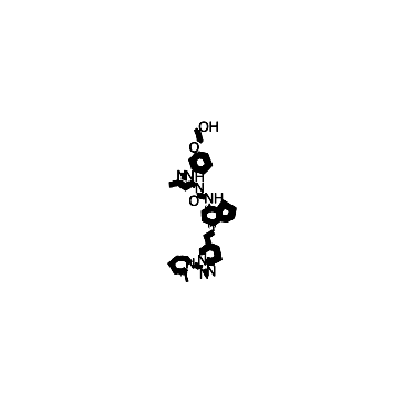 Cc1cc(NC(=O)N[C@H]2CC[C@@H](CCc3ccc4nnc(N5CCCC[C@@H]5C)n4c3)c3ccccc32)n(-c2cccc(OCCO)c2)n1